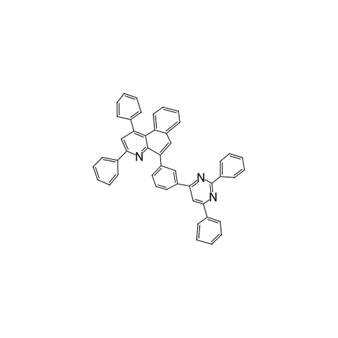 c1ccc(-c2cc(-c3cccc(-c4cc5ccccc5c5c(-c6ccccc6)cc(-c6ccccc6)nc45)c3)nc(-c3ccccc3)n2)cc1